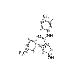 Cc1cc(NC(=O)C2C3CC(O)C(O3)C2c2cccc(C(F)(F)F)c2)cnc1C(F)(F)F